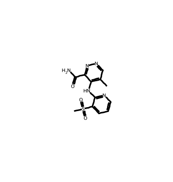 Cc1cnnc(C(N)=O)c1Nc1ncccc1S(C)(=O)=O